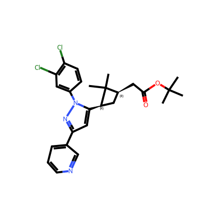 CC(C)(C)OC(=O)C[C@H]1C[C@@H](c2cc(-c3cccnc3)nn2-c2ccc(Cl)c(Cl)c2)C1(C)C